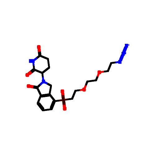 [N-]=[N+]=NCCOCCOCCS(=O)(=O)c1cccc2c1CN(C1CCC(=O)NC1=O)C2=O